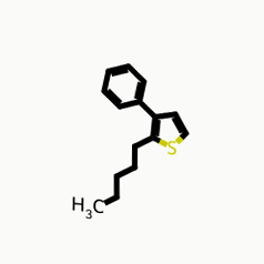 CCCCCc1sccc1-c1ccccc1